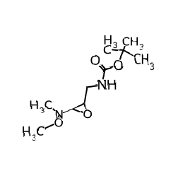 CON(C)C1OC1CNC(=O)OC(C)(C)C